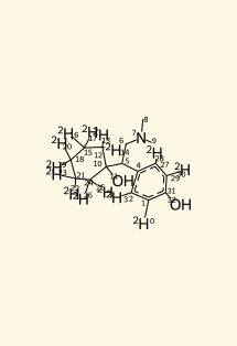 [2H]c1c([2H])c(C(CN(C)C)C2(O)C([2H])([2H])C([2H])([2H])C([2H])([2H])C([2H])([2H])C2([2H])[2H])c([2H])c([2H])c1O